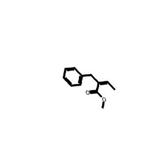 CC=C(Cc1ccccc1)C(=O)OC